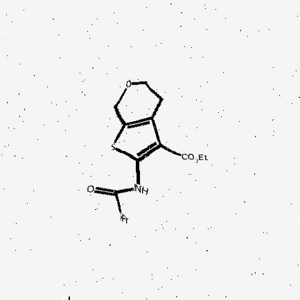 CCOC(=O)c1c(NC(=O)C(C)C)sc2c1CCOC2